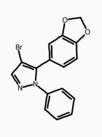 Brc1cnn(-c2ccccc2)c1-c1ccc2c(c1)OCO2